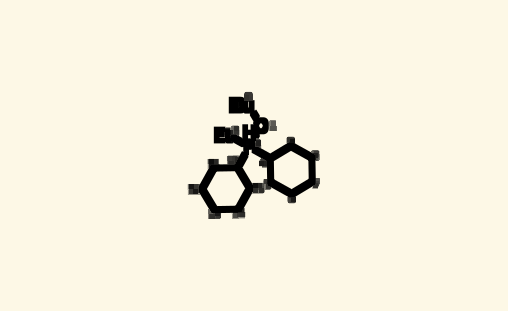 CCC(C)O[PH](CC)(C1CCCCC1)C1CCCCC1